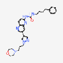 O=C(NCCCCc1ccccc1)Nc1ccc2ncc(-c3cnn(CCCN4CCOCC4)c3)cc2n1